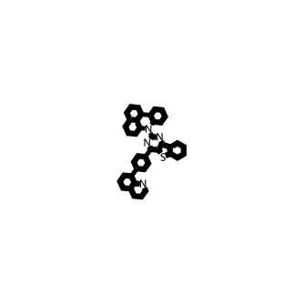 c1ccc2c(c1)-c1cccc3cccc(c13)N2c1nc(-c2ccc(-c3cccc4cccnc34)cc2)c2sc3ccccc3c2n1